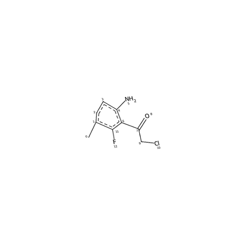 Cc1ccc(N)c(C(=O)CCl)c1F